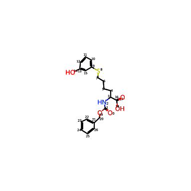 O=C(NC(CCCCSc1cccc(O)c1)C(=O)O)OCc1ccccc1